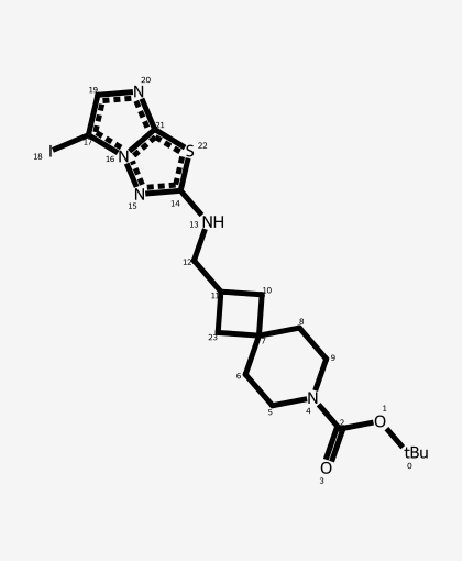 CC(C)(C)OC(=O)N1CCC2(CC1)CC(CNc1nn3c(I)cnc3s1)C2